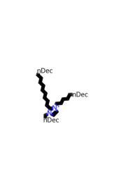 CCCCCCCCCCCCCCCCCCCc1n(CCCCCCCCCCC)cc[n+]1CCCCCCCCCCCCCCC